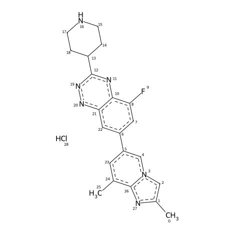 Cc1cn2cc(-c3cc(F)c4nc(C5CCNCC5)nnc4c3)cc(C)c2n1.Cl